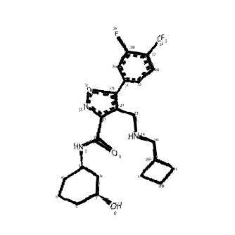 O=C(N[C@@H]1CCC[C@H](O)C1)c1noc(-c2ccc(C(F)(F)F)c(F)c2)c1CNCC1CCC1